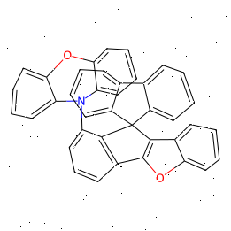 c1ccc2c(c1)Oc1ccccc1N2c1cccc2c1C1(c3ccccc3-c3ccccc31)c1c-2oc2ccccc12